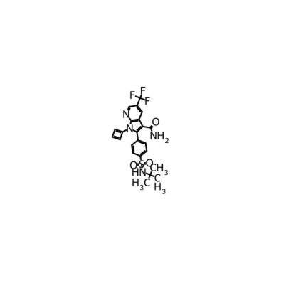 CC(C)(C)NS(=O)(=O)c1ccc(-c2c(C(N)=O)c3cc(C(F)(F)F)cnc3n2C2=CC=C2)cc1